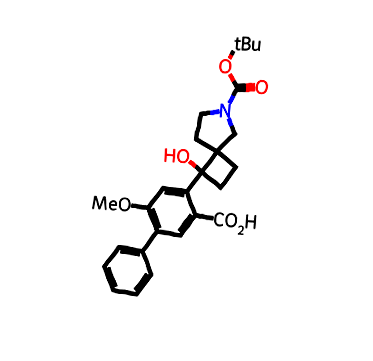 COc1cc(C2(O)CCC23CCN(C(=O)OC(C)(C)C)C3)c(C(=O)O)cc1-c1ccccc1